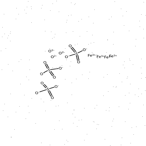 O=S(=O)([O-])[O-].O=S(=O)([O-])[O-].O=S(=O)([O-])[O-].[Fe+3].[Fe+3].[Fe+3].[Fe+3].[O-2].[O-2].[O-2]